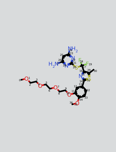 COCCOCCOCCOc1cc(-c2nc(C(F)(F)Sc3nc(N)cc(N)n3)c(C)s2)ccc1OC